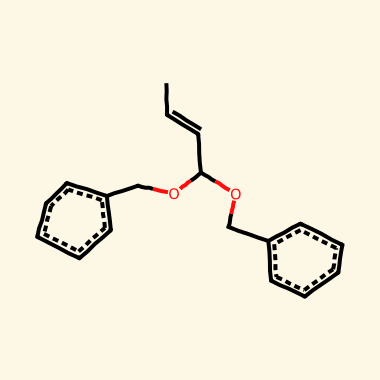 C/C=C/C(OCc1ccccc1)OCc1ccccc1